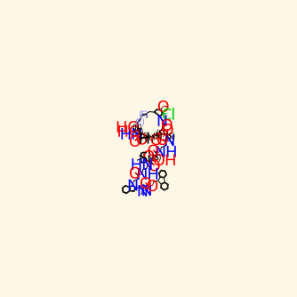 COc1cc2cc(c1Cl)N(C)C(=O)C[C@H](OC(=O)[C@H](C)N(C)C(=O)CCNC(=O)[C@@H](O)C(O[Si](C)(C)C(C)(C)C)C(=O)NCCNC(=O)CCn1c(CN(C)N(C)C(=O)OCC3c4ccccc4-c4ccccc43)cc3ccccc31)[C@]1(C)OC1[C@H](C)[C@@H]1C[C@@](O)(NC(=O)O1)[C@H](O)/C=C/C=C(\C)C2